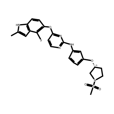 Cc1cc2c(F)c(Oc3ccnc(Nc4cccc(O[C@@H]5CCN(S(C)(=O)=O)C5)c4)n3)ccc2[nH]1